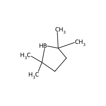 CC1(C)BC(C)(C)CC1